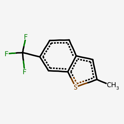 Cc1cc2ccc(C(F)(F)F)cc2s1